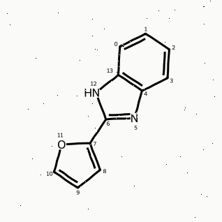 [c]1cccc2nc(-c3ccco3)[nH]c12